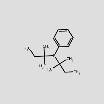 CCC(C)(C)P(c1ccccc1)C(C)(C)CC